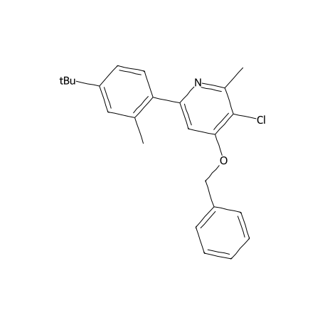 Cc1cc(C(C)(C)C)ccc1-c1cc(OCc2ccccc2)c(Cl)c(C)n1